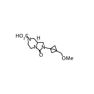 COCC12CC(N3C[C@@H]4CN(C(=O)O)CCN4C3=O)(C1)C2